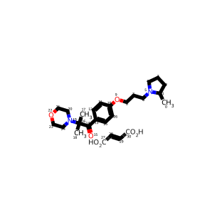 CC1CCCN1CCCOc1ccc(C(=O)C(C)(C)N2CCOCC2)cc1.O=C(O)C=CC(=O)O